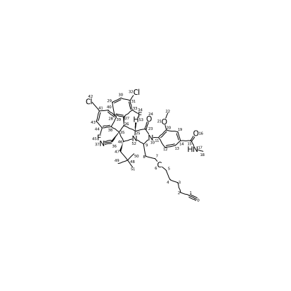 C#CCCCCCCCC1N(c2ccc(C(=O)NC)cc2OC)C(=O)[C@H]2[C@H](c3cccc(Cl)c3F)[C@@](C#N)(c3ccc(Cl)cc3F)[C@H](CC(C)(C)C)N12